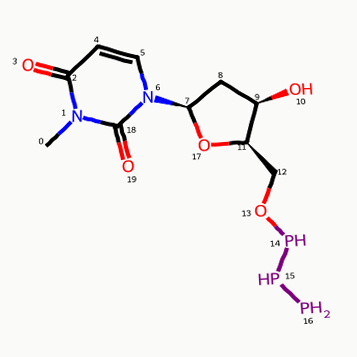 Cn1c(=O)ccn([C@H]2C[C@@H](O)[C@@H](COPPP)O2)c1=O